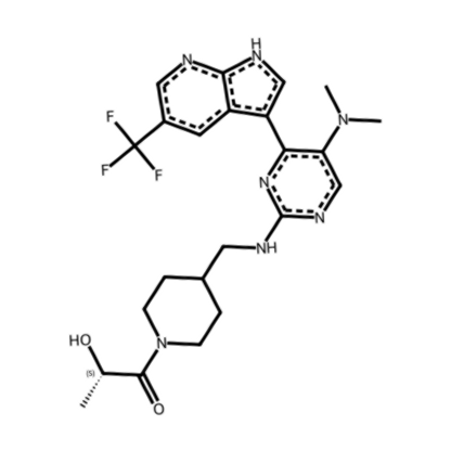 C[C@H](O)C(=O)N1CCC(CNc2ncc(N(C)C)c(-c3c[nH]c4ncc(C(F)(F)F)cc34)n2)CC1